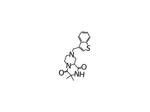 CC1(C)NC(=O)C2CN(Cc3csc4ccccc34)CCN2C1=O